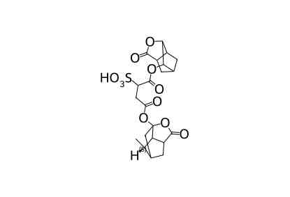 C[C@H]1C2CC3C(=O)OC(OC(=O)CC(C(=O)OC4C5CC6C(=O)OC4C6C5)S(=O)(=O)O)(C2)C31